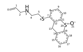 C=CCNCCSc1cccc2c1Cc1ccccc1[S+]2[O-]